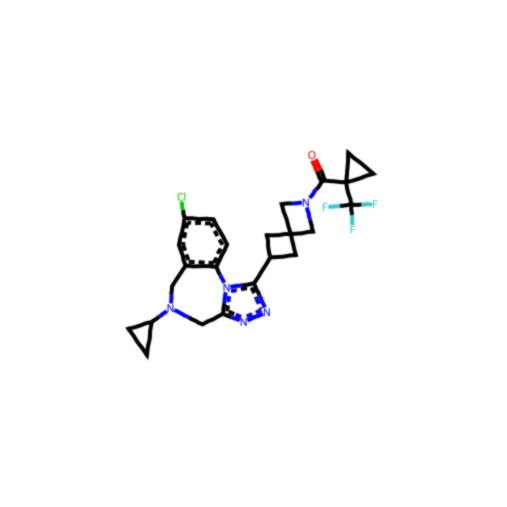 O=C(N1CC2(CC(c3nnc4n3-c3ccc(Cl)cc3CN(C3CC3)C4)C2)C1)C1(C(F)(F)F)CC1